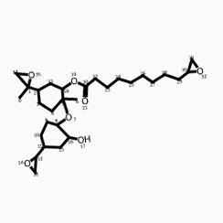 CC1(C2CCC(C)(OC3CCC(C4CO4)CC3O)C(OC(=O)CCCCCCCCC3CO3)C2)CO1